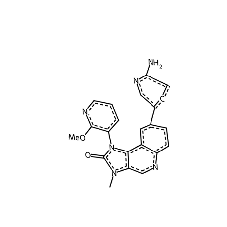 COc1ncccc1-n1c(=O)n(C)c2cnc3ccc(-c4ccc(N)nc4)cc3c21